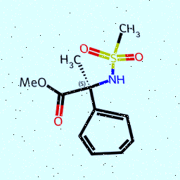 COC(=O)[C@@](C)(NS(C)(=O)=O)c1ccccc1